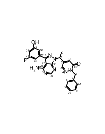 CC(c1cnn(Cc2ccccc2)c(=O)c1)n1nc(-c2cc(O)cc(F)c2)c2c(N)ncnc21